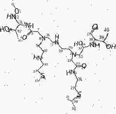 CONC(NC(=O)CN(CCNCCSC)CCNCCN(CC(=O)NCCSC(C)C)CC(O)NC(C=O)C(C)O)C(C)O